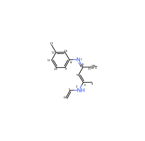 C=CN/C(C)=C/C(=N\c1cccc(C)c1)C(C)C